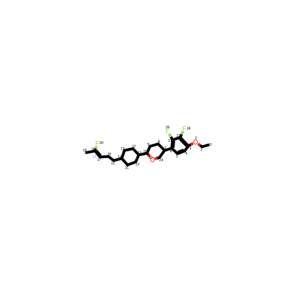 CCOc1ccc(C2CCC(C3CCC(CC/C=C(/C)F)CC3)OC2)c(F)c1F